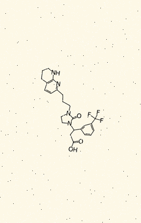 O=C(O)CC(c1cccc(C(F)(F)F)c1)N1CCN(CCCc2ccc3c(n2)NCCC3)C1=O